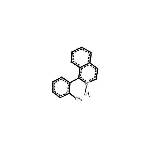 [CH2-][n+]1ccc2ccccc2c1-c1ccccc1C